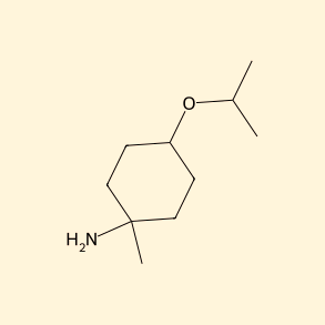 CC(C)OC1CCC(C)(N)CC1